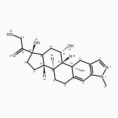 Cn1ncc2c1C=C1CC[C@@H]3[C@H]([C@@H](O)CC4[C@H]3CC[C@]4(O)C(=O)CO)[C@@]1(C)C2